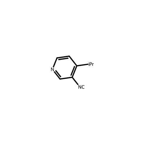 [C-]#[N+]c1cnccc1C(C)C